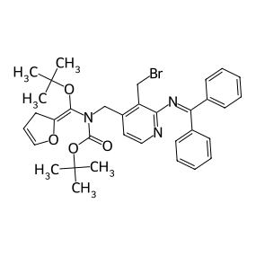 CC(C)(C)OC(=O)N(Cc1ccnc(N=C(c2ccccc2)c2ccccc2)c1CBr)C(OC(C)(C)C)=C1CC=CO1